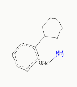 NC=O.c1ccc(C2CCCC2)cc1